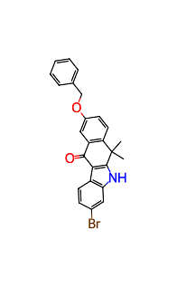 CC1(C)c2ccc(OCc3ccccc3)cc2C(=O)c2c1[nH]c1cc(Br)ccc21